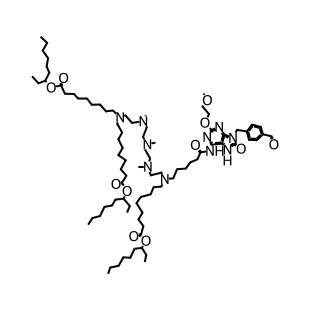 CCCCCCC(CC)OC(=O)CCCCCCCCN(CCCCCCCCC(=O)OC(CC)CCCCCC)CCN(C)CCN(C)CCN(C)CCN(CCCCCCCCC(=O)OC(CC)CCCCCC)CCCCCC(=O)Nc1nc(OCCOC)nc2c1[nH]c(=O)n2Cc1ccc(C=O)cc1